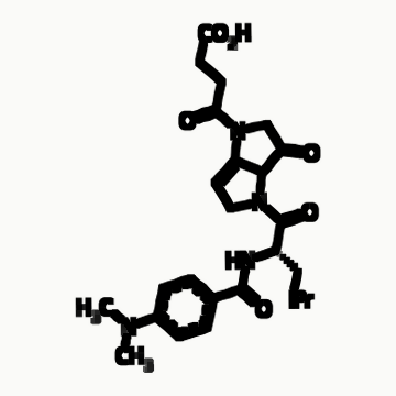 CC(C)C[C@H](NC(=O)c1ccc(N(C)C)cc1)C(=O)N1CC=C2C1C(=O)CN2C(=O)CCC(=O)O